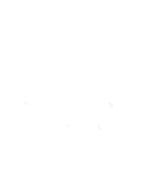 O=C(Nc1nc(/C=C/c2ccc3c(c2)OCO3)cs1)c1cccn1Cc1ccncc1